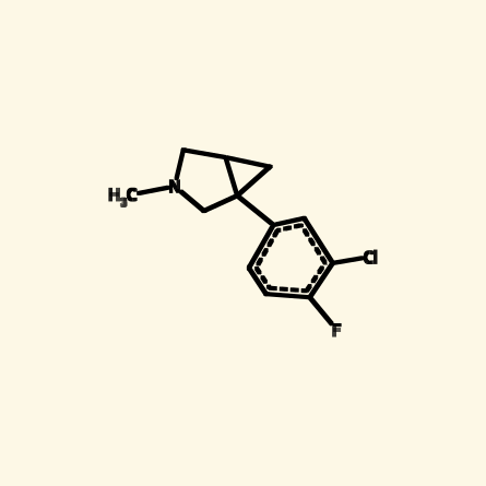 CN1CC2CC2(c2ccc(F)c(Cl)c2)C1